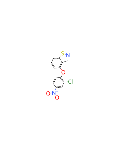 O=[N+]([O-])c1ccc(Oc2cccc3sncc23)c(Cl)c1